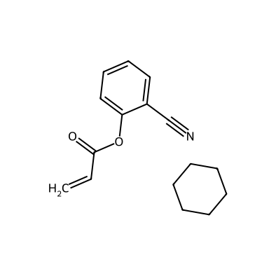 C1CCCCC1.C=CC(=O)Oc1ccccc1C#N